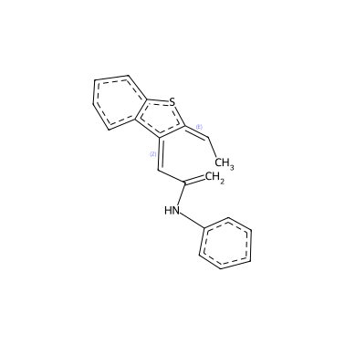 C=C(/C=c1\c(=C/C)sc2ccccc12)Nc1ccccc1